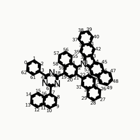 c1ccc(-c2nc(-c3cccc4ccccc34)nc(-c3cc(-c4ccc5ccccc5c4)c(-n4c5cc6ccccc6cc5c5cc6ccccc6cc54)c4ccccc34)n2)cc1